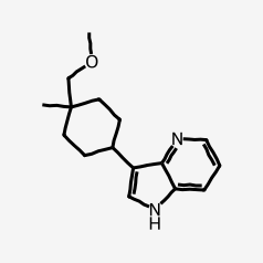 COCC1(C)CCC(c2c[nH]c3cccnc23)CC1